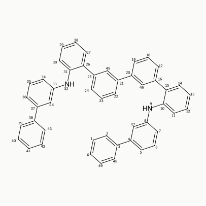 c1ccc(-c2cccc(Nc3ccccc3-c3cccc(-c4cccc(-c5ccccc5Nc5cccc(-c6ccccc6)c5)c4)c3)c2)cc1